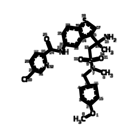 COc1ccc(CN(C)S(=O)(=O)CC(C)(N)c2csc3ccc(NC(=O)c4ccc(Cl)cn4)cc23)cc1